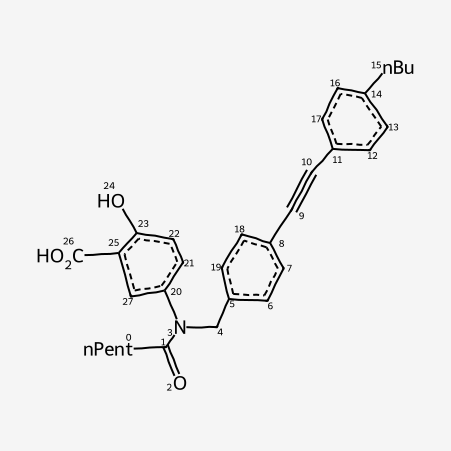 CCCCCC(=O)N(Cc1ccc(C#Cc2ccc(CCCC)cc2)cc1)c1ccc(O)c(C(=O)O)c1